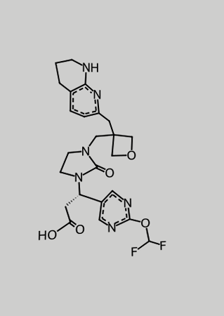 O=C(O)C[C@@H](c1cnc(OC(F)F)nc1)N1CCN(CC2(Cc3ccc4c(n3)NCCC4)COC2)C1=O